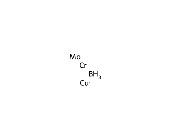 B.[Cr].[Cu].[Mo]